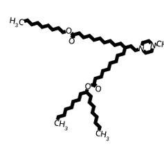 CCCCCCCCCOC(=O)CCCCCCCCCC(CCCCCCCCC(=O)OC(CCCCCCCC)CCCCCCCC)CCN1CCN(C)CC1